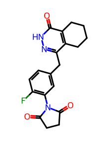 O=C1CCC(=O)N1c1cc(Cc2n[nH]c(=O)c3c2CCCC3)ccc1F